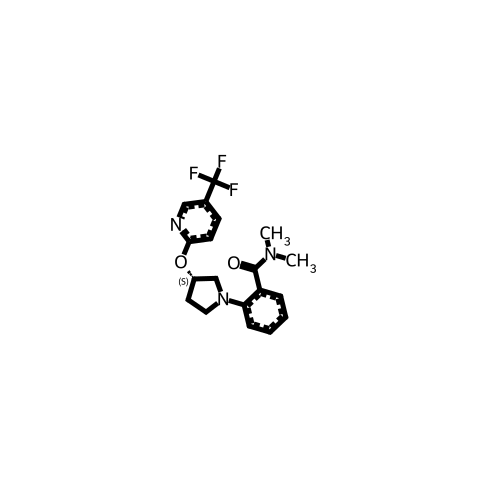 CN(C)C(=O)c1ccccc1N1CC[C@H](Oc2ccc(C(F)(F)F)cn2)C1